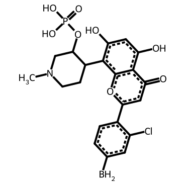 Bc1ccc(-c2cc(=O)c3c(O)cc(O)c(C4CCN(C)CC4OP(=O)(O)O)c3o2)c(Cl)c1